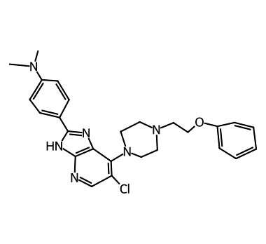 CN(C)c1ccc(-c2nc3c(N4CCN(CCOc5ccccc5)CC4)c(Cl)cnc3[nH]2)cc1